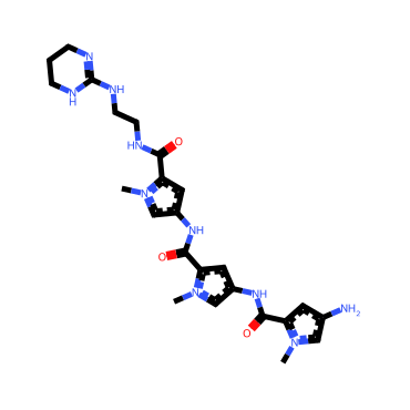 Cn1cc(NC(=O)c2cc(NC(=O)c3cc(N)cn3C)cn2C)cc1C(=O)NCCNC1=NCCCN1